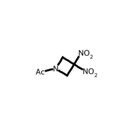 CC(=O)N1CC([N+](=O)[O-])([N+](=O)[O-])C1